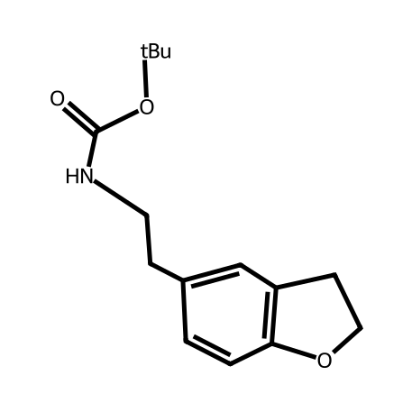 CC(C)(C)OC(=O)NCCc1ccc2c(c1)CCO2